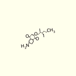 CCCC(I)C(I)COC1=CC(=O)c2cc(N)ccc2C1=O